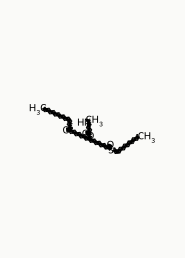 CCCCCCCCCC/C=C\CSC(=O)CCCCCCCC(CCCCCCCC(=O)SC/C=C\CCCCCCCCCC)OC(=O)CCCNC